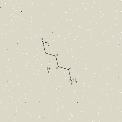 NCCCCN.[H]